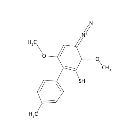 COC1=CC(=[N+]=[N-])C(OC)C(S)=C1c1ccc(C)cc1